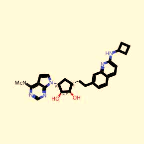 CNc1ncnc2c1ccn2[C@@H]1C[C@H](CCc2ccc3ccc(NC4CCC4)nc3c2)[C@@H](O)[C@H]1O